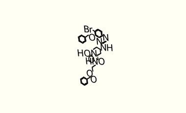 O=C(OCCCNC(=O)[C@@H]1C[C@@H](Nc2cnc3ccc(Br)c(OCc4ccccc4)c3n2)CCN1C(=O)O)c1ccccc1